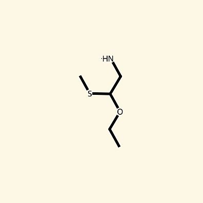 CCOC(C[NH])SC